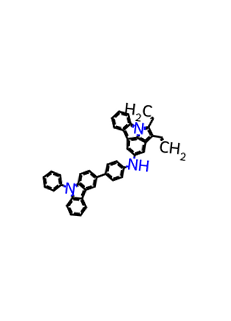 C=Cc1c(C=C)n2c3ccccc3c3cc(Nc4ccc(-c5ccc6c(c5)c5ccccc5n6-c5ccccc5)cc4)cc1c32